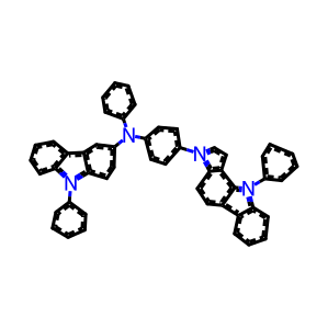 c1ccc(N(c2ccc(-n3ccc4c3ccc3c5ccccc5n(-c5ccccc5)c34)cc2)c2ccc3c(c2)c2ccccc2n3-c2ccccc2)cc1